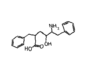 NC(Cc1ccccc1)C(O)CC(Cc1ccccc1)C(=O)O